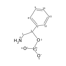 NCC(O[I+2]([O-])[O-])c1ccccc1